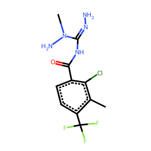 Cc1c(C(F)(F)F)ccc(C(=O)N/C(=N/N)N(C)N)c1Cl